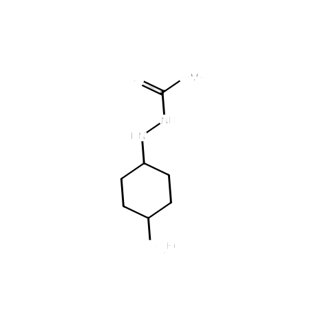 CCOC(=O)C1CCC(NNC(=O)OC)CC1